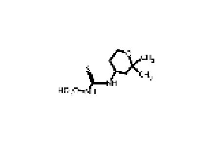 CC1(C)CC(NC(=S)NC(=O)O)CCO1